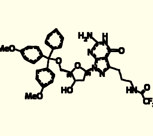 COc1ccc(C(OC[C@H]2O[C@@H](n3nc(CCCNC(=O)C(F)(F)F)c4c(=O)[nH]c(N)nc43)CC2O)(c2ccccc2)c2ccc(OC)cc2)cc1